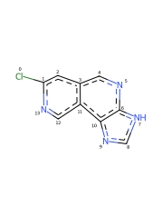 Clc1cc2cnc3[nH]cnc3c2cn1